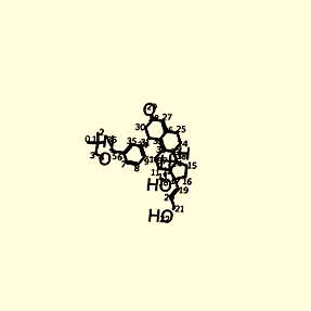 CC1(C)COC(c2ccc([C@H]3C[C@@]4(C)[C@@H](CC[C@@]4(O)C=CCO)[C@@H]4CCC5=CC(=O)CCC5=C43)cc2)=N1